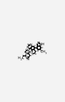 C=CC(=O)N1CCN(c2ncnc3cc(-c4cc(C)cc5[nH]ncc45)c4c(c23)OCCC4)CC1CC#N